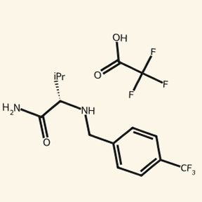 CC(C)[C@H](NCc1ccc(C(F)(F)F)cc1)C(N)=O.O=C(O)C(F)(F)F